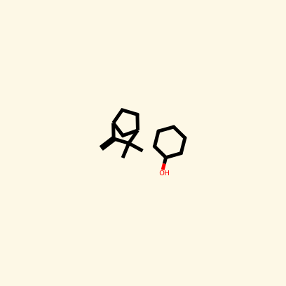 C=C1C2CCC(C2)C1(C)C.OC1CCCCC1